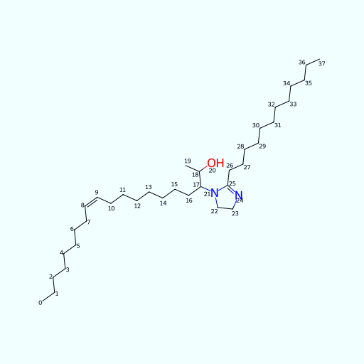 CCCCCCCC/C=C\CCCCCCCC(C(C)O)N1CCN=C1CCCCCCCCCCCC